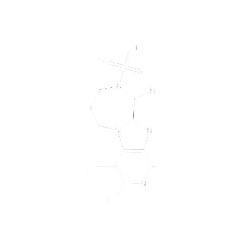 Cc1ncc2nc3n(c2c1C)CCCN(S(C)(=O)=O)C3N